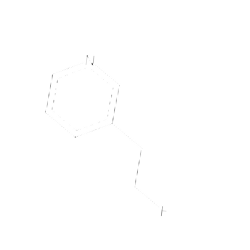 FCCc1cccnc1